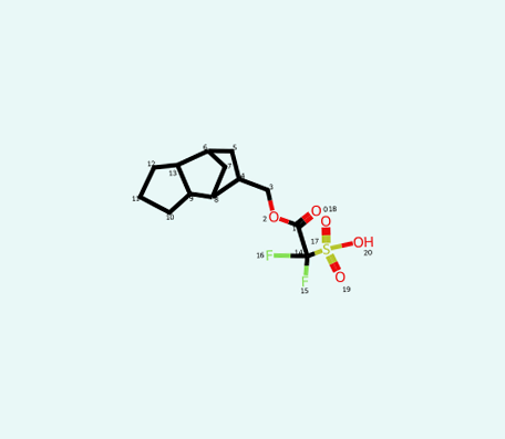 O=C(OCC1CC2CC1C1CCCC21)C(F)(F)S(=O)(=O)O